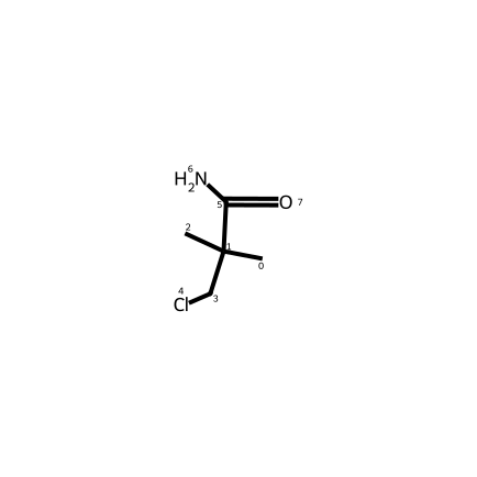 CC(C)(CCl)C(N)=O